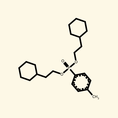 Cc1ccc(P(=O)(OCCC2CCCCC2)OCCC2CCCCC2)cc1